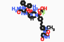 Cn1c(=O)n(C2CCC(=O)NC2=O)c2ccc(CCC3CCC(C(=O)N4CC[C@H]5CC[C@@H](C(=O)N[C@@H](CCC(N)=O)C(=O)NC(c6ccccc6)c6ccccc6)N5C(=O)[C@@H](N)C4)CC3)cc21.O=C(O)C(F)(F)F